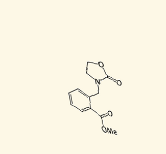 COC(=O)c1ccccc1CN1CCOC1=O